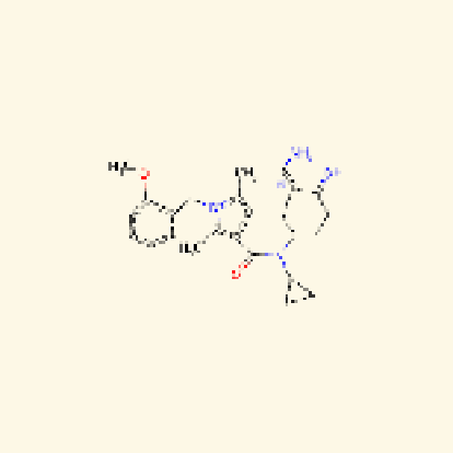 COc1ccccc1Cn1c(C)cc(C(=O)N(C2CC2)C2CCC(=N)/C(=C\N)C2)c1C